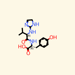 CC(C)[C@@H](NC1N=CCN1)C(=O)N[C@H](Cc1ccc(O)cc1)C(=O)O